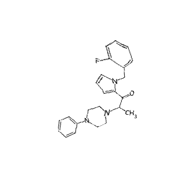 CC(C(=O)c1cccn1Cc1ccccc1F)N1CCN(c2ccccc2)CC1